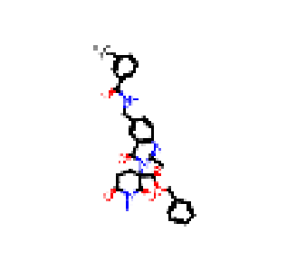 Cc1nc2ccc(CNC(=O)c3cccc(C(F)(F)F)c3)cc2c(=O)n1C1(C(=O)OCc2ccccc2)CCC(=O)NC1=O